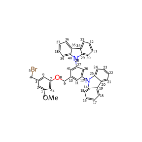 COc1cc(CBr)cc(OCc2cc(-n3c4ccccc4c4ccccc43)cc(-n3c4ccccc4c4ccccc43)c2)c1